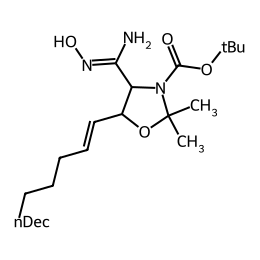 CCCCCCCCCCCCCC=CC1OC(C)(C)N(C(=O)OC(C)(C)C)C1/C(N)=N/O